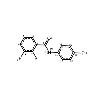 Cc1c(F)cccc1C(=O)Nc1ccc(F)cc1